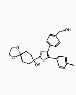 Cc1ccc(-c2sc(C3(O)CCC4(CC3)OCCO4)nc2-c2ccc(CO)cc2)cc1